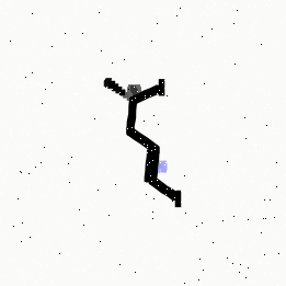 C[C@H](I)C/C=C/I